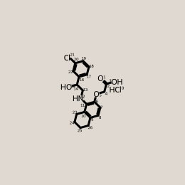 Cl.O=C(O)COc1ccc2c(c1NCC(O)c1cccc(Cl)c1)CCCC2